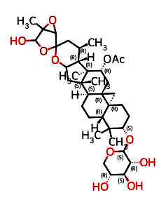 CC(=O)O[C@@H]1C[C@@]23C[C@@]24CC[C@H](O[C@@H]2OC[C@@H](O)[C@H](O)[C@H]2O)C(C)(C)[C@@H]4CC[C@H]3[C@]2(C)CC3OC4(C[C@@H](C)[C@@H]3[C@@]12C)OC(O)C1(C)OC41